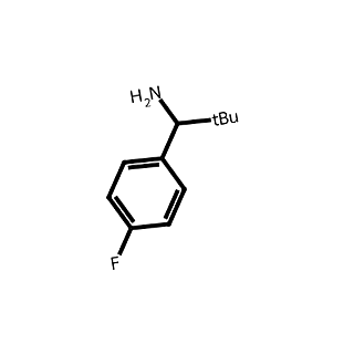 CC(C)(C)C(N)c1ccc(F)cc1